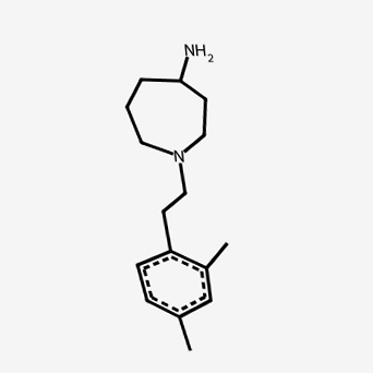 Cc1ccc(CCN2CCCC(N)CC2)c(C)c1